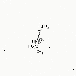 CCCCC(C)C(=O)CCNC(CCCCCCC(=O)OCC)C(=O)OCC